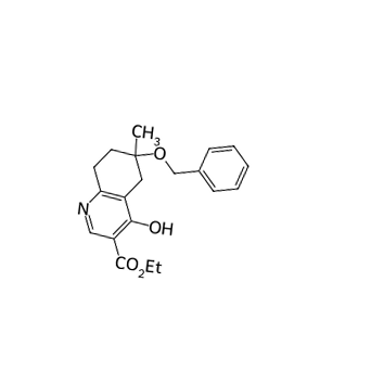 CCOC(=O)c1cnc2c(c1O)CC(C)(OCc1ccccc1)CC2